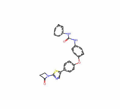 O=C(Nc1ccccc1)Nc1ccc(Oc2ccc(-c3cnc(N4CCC4=O)s3)cc2)cc1